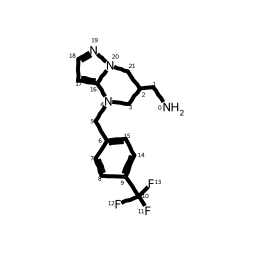 NCC1CN(Cc2ccc(C(F)(F)F)cc2)c2ccnn2C1